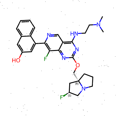 CN(C)CCNc1nc(OC[C@]23CCCN2C[C@@H](F)C3)nc2c(F)c(-c3cc(O)cc4ccccc34)ncc12